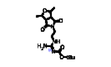 CC1OC(C)C2C(=O)N(CCN/C(N)=N\C(=O)OC(C)(C)C)C(=O)C12